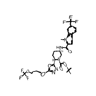 Cn1c(C(=O)N[C@H]2CC[C@H](c3nnc(OCCOC(F)(F)F)o3)N(C(=O)OC(C)(C)C)C2)cc2ccc(C(F)(F)F)cc21